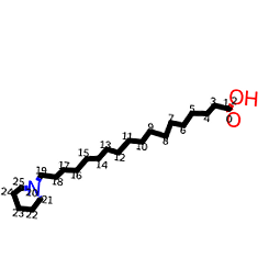 O=C(O)CCCCCCCCCCCCCCCCCN1CCCCC1